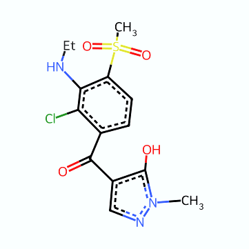 CCNc1c(S(C)(=O)=O)ccc(C(=O)c2cnn(C)c2O)c1Cl